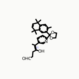 C/C(=C(/O)CCC=O)c1ccc(C2(c3cc4c(cc3C)C(C)(C)C=CC4(C)C)OCCO2)nc1